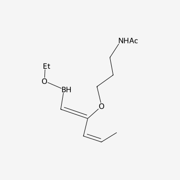 C/C=C\C(=C\BOCC)OCCCNC(C)=O